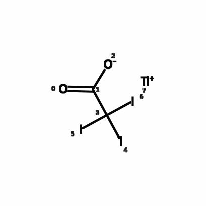 O=C([O-])C(I)(I)I.[Tl+]